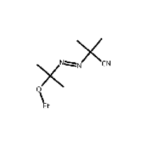 CCOC(C)(C)N=NC(C)(C)C#N